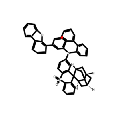 O=S1(=O)c2ccccc2C2(c3cc(N(c4cccc(-c5cccc6c5oc5ccccc56)c4)c4ccccc4-c4ccccc4)ccc31)[C@H]1C[C@H]3C[C@H](C[C@H]2C3)C1